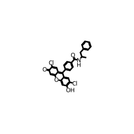 CC(Cc1ccccc1)NC(=O)c1ccc(-c2c3cc(Cl)c(=O)cc-3oc3cc(O)c(Cl)cc23)cc1